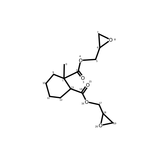 CC1(C(=O)OCC2CO2)CCCCC1C(=O)OCC1CO1